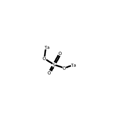 O=S(=O)([O][Ta])[O][Ta]